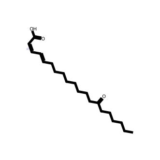 CCCCCCC(=O)CCCCCCCCC=C/C=C\C(=O)O